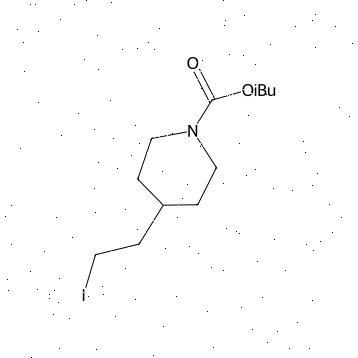 CC(C)COC(=O)N1CCC(CCI)CC1